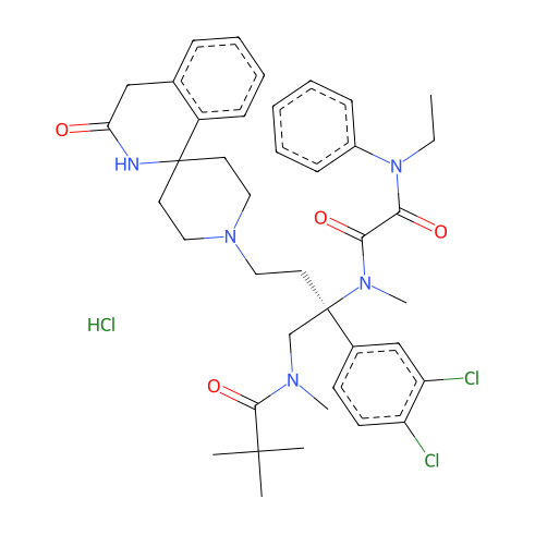 CCN(C(=O)C(=O)N(C)[C@](CCN1CCC2(CC1)NC(=O)Cc1ccccc12)(CN(C)C(=O)C(C)(C)C)c1ccc(Cl)c(Cl)c1)c1ccccc1.Cl